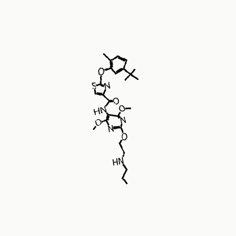 CCCNCCOc1nc(OC)c(NC(=O)c2csc(Oc3cc(C(C)(C)C)ccc3C)n2)c(OC)n1